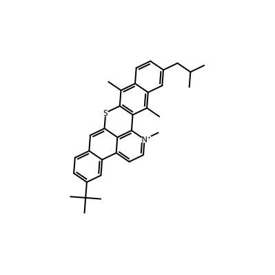 Cc1c2c(c(C)c3cc(CC(C)C)ccc13)-c1c3c(cc4ccc(C(C)(C)C)cc4c3cc[n+]1C)S2